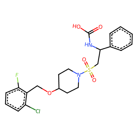 O=C(O)NC(CS(=O)(=O)N1CCC(OCc2c(F)cccc2Cl)CC1)c1ccccc1